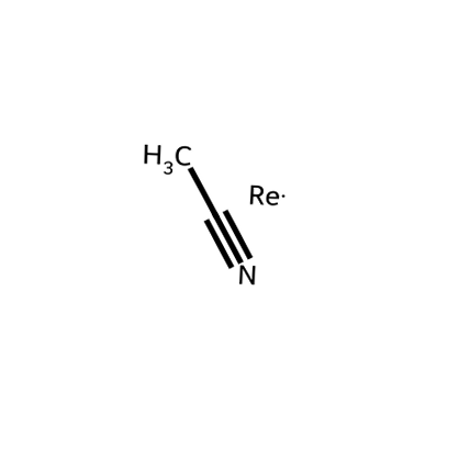 CC#N.[Re]